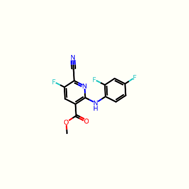 COC(=O)c1cc(F)c(C#N)nc1Nc1ccc(F)cc1F